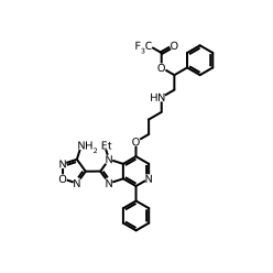 CCn1c(-c2nonc2N)nc2c(-c3ccccc3)ncc(OCCCNCC(OC(=O)C(F)(F)F)c3ccccc3)c21